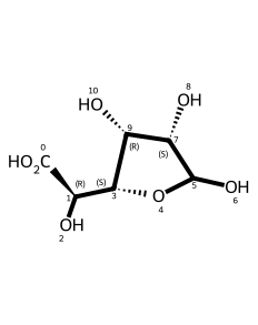 O=C(O)[C@H](O)[C@H]1OC(O)[C@@H](O)[C@H]1O